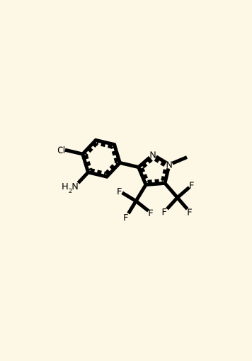 Cn1nc(-c2ccc(Cl)c(N)c2)c(C(F)(F)F)c1C(F)(F)F